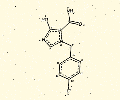 NC(=O)c1c(O)ncn1Cc1ccc(Cl)cc1